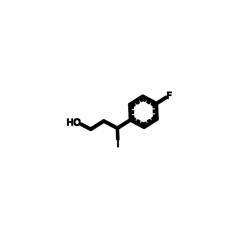 OCCC(I)c1ccc(F)cc1